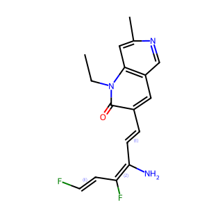 CCn1c(=O)c(/C=C/C(N)=C(F)\C=C\F)cc2cnc(C)cc21